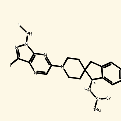 CC(C)(C)[S+]([O-])N[C@@H]1c2ccccc2CC12CCN(c1cnc3c(I)nn(PI)c3n1)CC2